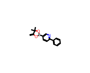 C=C1OB(c2ccc(-c3ccccc3)nc2)OC1(C)C